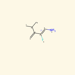 C=C(/C(F)=C/N)C(C)C